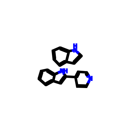 c1ccc2[nH]c(-c3ccncc3)cc2c1.c1ccc2[nH]ccc2c1